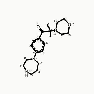 CC(C)(C(=O)c1ccc(N2CCCNCC2)cc1)N1CCOCC1